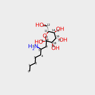 CCCCCC(N)C[C@]1(O)O[C@H](CO)[C@@H](O)[C@H](O)[C@H]1O